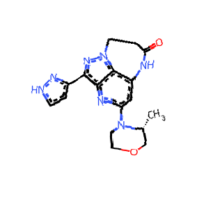 C[C@@H]1COCCN1c1cc2c3c(n1)c(-c1cc[nH]n1)nn3CCC(=O)N2